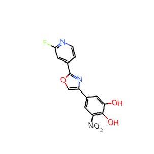 O=[N+]([O-])c1cc(-c2coc(-c3ccnc(F)c3)n2)cc(O)c1O